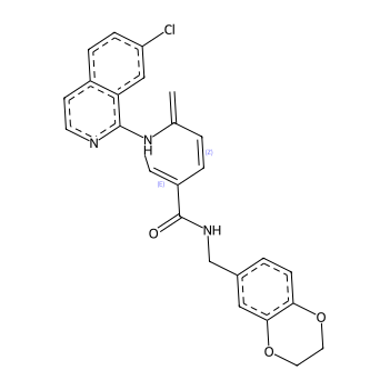 C=C(/C=C\C(=C/C)C(=O)NCc1ccc2c(c1)OCCO2)Nc1nccc2ccc(Cl)cc12